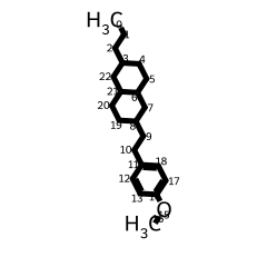 CCCC1CCC2CC(CCc3ccc(OC)cc3)CCC2C1